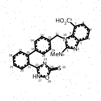 CNc1nc2cccc(C(=O)O)c2n1Cc1ccc(-c2ccccc2-c2nc(=S)o[nH]2)cc1